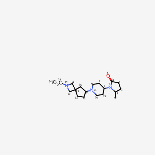 CC1CCC(=O)N1C1CCN(C2CCC3(C2)CN(C(=O)O)C3)CC1